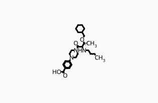 CCCCNC(C(=O)N1CCN(c2ccc(C(=O)O)cc2)CC1)[C@@H](C)OCC1CCCCC1